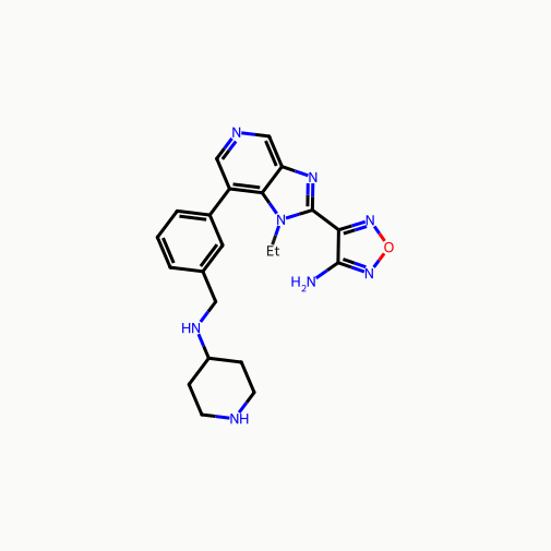 CCn1c(-c2nonc2N)nc2cncc(-c3cccc(CNC4CCNCC4)c3)c21